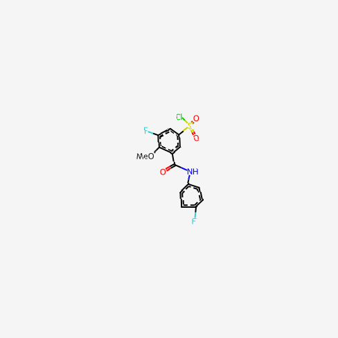 COc1c(F)cc(S(=O)(=O)Cl)cc1C(=O)Nc1ccc(F)cc1